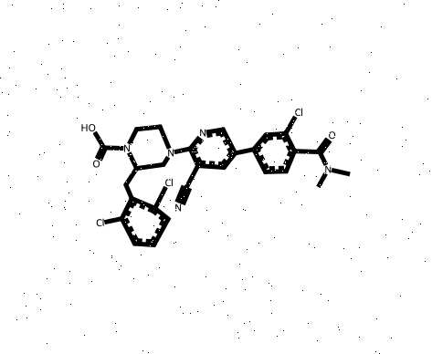 CN(C)C(=O)c1ccc(-c2cnc(N3CCN(C(=O)O)C(Cc4c(Cl)cccc4Cl)C3)c(C#N)c2)cc1Cl